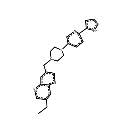 CCc1cnc2cc(CN3CCN(c4ccc(-c5ccn[nH]5)nc4)CC3)cnc2c1